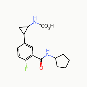 O=C(O)NC1CC1c1ccc(F)c(C(=O)NC2CCCC2)c1